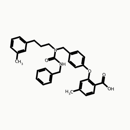 Cc1cccc(CCCN(Cc2ccc(Oc3cc(C)ccc3C(=O)O)cc2)C(=O)NCc2ccccc2)c1